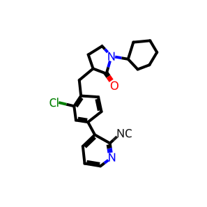 [C-]#[N+]c1ncccc1-c1ccc(CC2CCN(C3CCCCC3)C2=O)c(Cl)c1